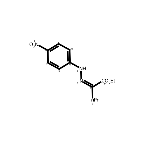 CCCC(=NNc1ccc([N+](=O)[O-])cc1)C(=O)OCC